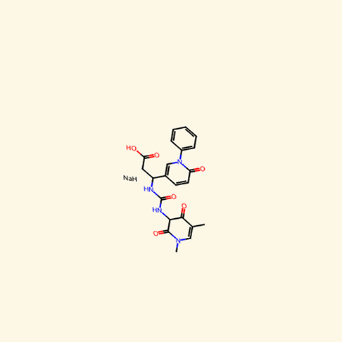 CC1=CN(C)C(=O)C(NC(=O)NC(CC(=O)O)c2ccc(=O)n(-c3ccccc3)c2)C1=O.[NaH]